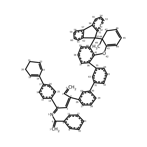 C=C/C(=C\C(=N/C(=C)c1ccccc1)c1ccc(C2=CCCC=C2)cc1)c1cccc(-c2cccc(-c3cccc4c3OC3=CC=CCC3(C)C43c4ccccc4-c4ccccc43)c2)c1